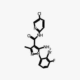 Cc1nn(-c2cccc(F)c2Br)c(N)c1C(=O)Nc1ccc(Cl)cn1